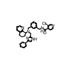 O=C(NCc1cccc(CN(Cc2nc(-c3ccccc3)c[nH]2)C2CCCc3cccnc32)c1)c1ccncc1Cl